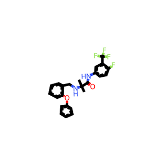 CC(C)(NCc1ccccc1Oc1ccccc1)C(=O)Nc1ccc(F)c(C(F)(F)F)c1